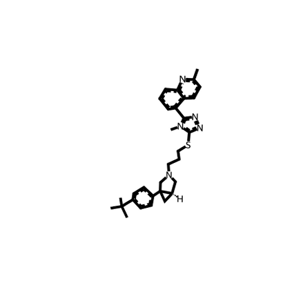 Cc1ccc2c(-c3nnc(SCCCN4C[C@H]5CC5(c5ccc(C(C)(C)C)cc5)C4)n3C)cccc2n1